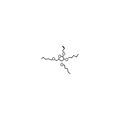 C=CCOC1O[C@H](COCCCCC)[C@@H](OCCCCC)[C@H]1OCCCCC